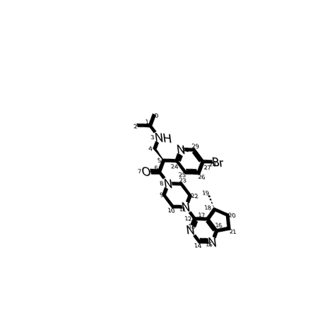 CC(C)NC[C@H](C(=O)N1CCN(c2ncnc3c2[C@H](C)CC3)CC1)c1ccc(Br)cn1